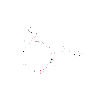 CO[C@H]1C[C@@H]2CC[C@@H](C)[C@@](O)(O2)C(=O)C(=O)N2CCCC[C@H]2C(=O)O[C@H]([C@H](C)C[C@@H]2CC[C@@H](OC(=O)C[n+]3cccc(O)c3)[C@H](OC)C2)CC(=O)[C@H](C)/C=C(\C)[C@@H](OC(=O)C[n+]2cccc(O)c2)[C@@H](OC)C(=O)[C@H](C)C[C@H](C)/C=C/C=C/C=C/1C